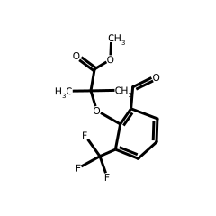 COC(=O)C(C)(C)Oc1c(C=O)cccc1C(F)(F)F